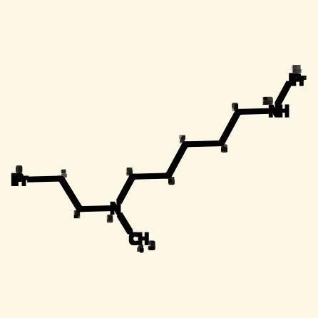 CC(C)CCN(C)CCCCCNC(C)C